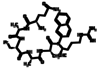 CC(C)C[C@H](NC(=O)[C@H](C)NC(=O)[C@@H](N)CCC(N)=O)C(=O)N[C@@H](C)C(=O)N[C@@H](C)C(=O)N(c1ccc2ccccc2c1)[C@H]([C]=O)CCCNC(=N)N